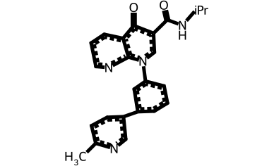 Cc1ccc(-c2cccc(-n3cc(C(=O)NC(C)C)c(=O)c4cccnc43)c2)cn1